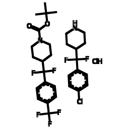 CC(C)(C)OC(=O)N1CCC(C(F)(F)c2ccc(C(F)(F)F)cc2)CC1.Cl.FC(F)(c1ccc(Cl)cc1)C1CCNCC1